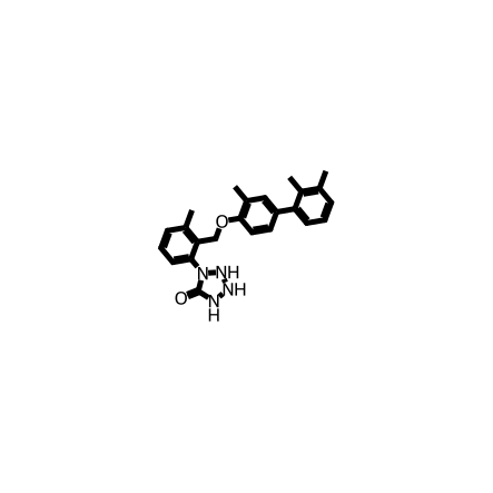 Cc1cc(-c2cccc(C)c2C)ccc1OCc1c(C)cccc1N1NNNC1=O